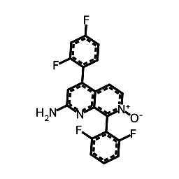 Nc1cc(-c2ccc(F)cc2F)c2cc[n+]([O-])c(-c3c(F)cccc3F)c2n1